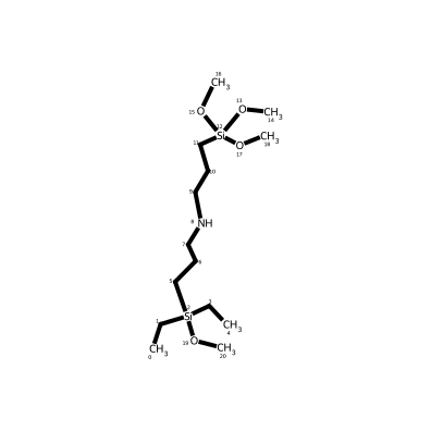 CC[Si](CC)(CCCNCCC[Si](OC)(OC)OC)OC